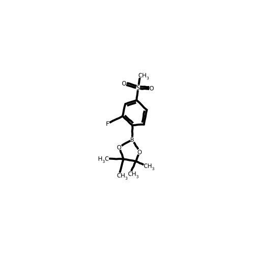 CC1(C)OB(c2ccc(S(C)(=O)=O)cc2F)OC1(C)C